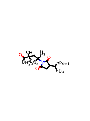 BC(=O)C(C)(C)CC(C)(C)N1C(=O)CC(C(CCCC)CCCCC)C1=O